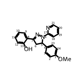 COc1ccc(C2CC(c3ccccc3O)=NN2c2ccccn2)cc1